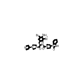 Nc1c(Br)cc(C[C@@H](NC(=O)N2CCC(n3c(=O)[nH]c4ccccc43)CC2)C(=O)N2CCN(c3ccncc3)CC2)cc1Br